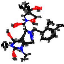 Cc1cccc(Cn2cc3c(c2C(=O)N2C[C@](C)(O)CO2)c(=O)n(C)c(=O)n3CC(C)C)c1C